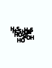 O[Si](O)(O)O.S.S.S.S